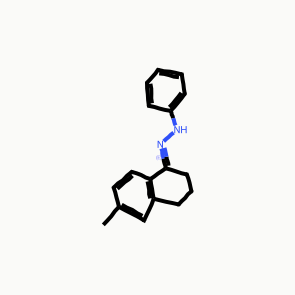 Cc1ccc2c(c1)CCC/C2=N\Nc1ccccc1